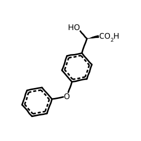 O=C(O)[C@H](O)c1ccc(Oc2ccccc2)cc1